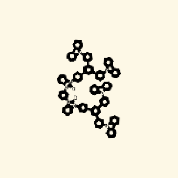 O=c1n(-c2ccc(-c3cc(-c4cccc(-n5c6ccccc6c6ccccc65)c4)cc(-c4cccc(-n5c6ccccc6c6ccccc65)c4)c3)cc2)c2ccccc2n1-c1cccc(-n2c(=O)n(-c3ccc(-c4cc(-c5cccc(-n6c7ccccc7c7ccccc76)c5)cc(-c5cccc(-n6c7ccccc7c7ccccc76)c5)c4)cc3)c3ccccc32)c1